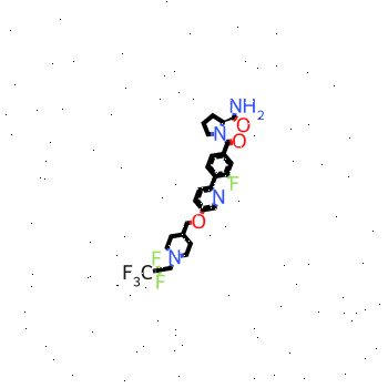 NC(=O)[C@@H]1CCCN1C(=O)c1ccc(-c2ccc(OCC3CCN(CC(F)(F)C(F)(F)F)CC3)cn2)c(F)c1